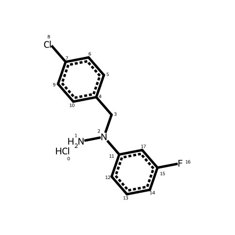 Cl.NN(Cc1ccc(Cl)cc1)c1cccc(F)c1